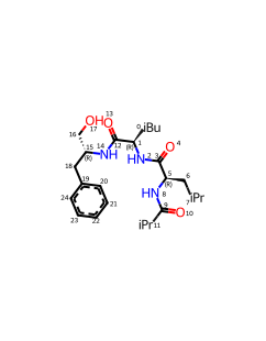 CCC(C)[C@@H](NC(=O)[C@@H](CC(C)C)NC(=O)C(C)C)C(=O)N[C@@H](CO)Cc1ccccc1